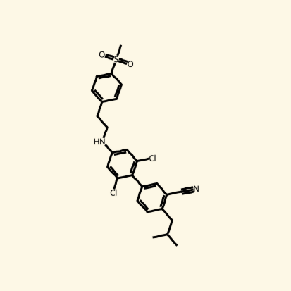 CC(C)Cc1ccc(-c2c(Cl)cc(NCCc3ccc(S(C)(=O)=O)cc3)cc2Cl)cc1C#N